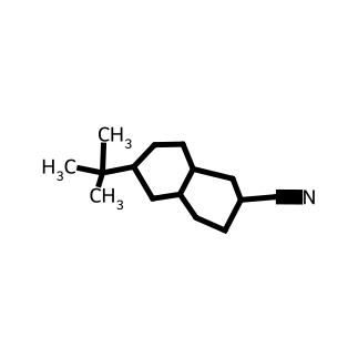 CC(C)(C)C1CCC2CC(C#N)CCC2C1